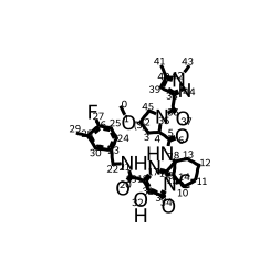 CO[C@H]1CC(C(=O)NC23CCC(CC2)Cn2c3nc(C(=O)NCc3ccc(F)c(C)c3)c(O)c2=O)N(C(=O)c2cc(C)n(C)n2)C1